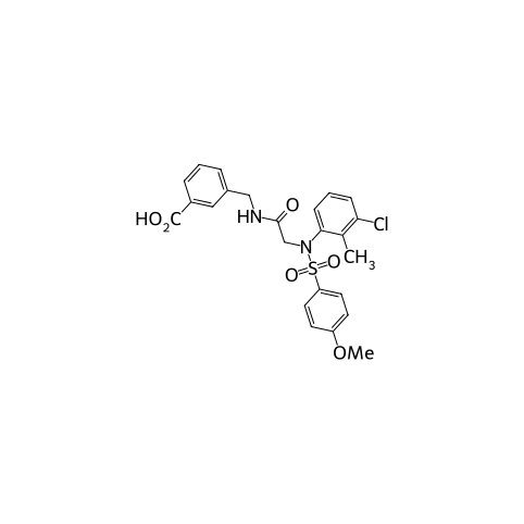 COc1ccc(S(=O)(=O)N(CC(=O)NCc2cccc(C(=O)O)c2)c2cccc(Cl)c2C)cc1